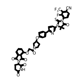 CC1(C)C(=O)N(c2ccc(C#N)c(C(F)(F)F)c2F)C(=S)N1c1ccc(-c2ccc(OC3CCN(C(=O)COc4cccc5c4C(=O)N(C4CCC(=O)NC4=O)C5=O)C3)cc2)nc1